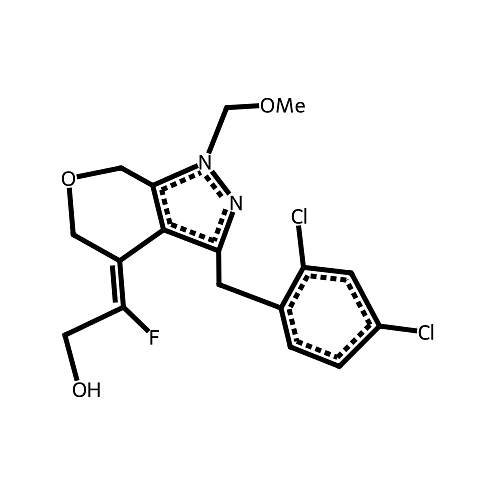 COCn1nc(Cc2ccc(Cl)cc2Cl)c2c1COC/C2=C(/F)CO